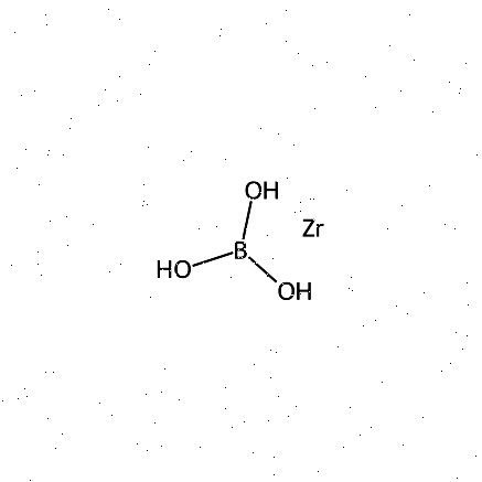 OB(O)O.[Zr]